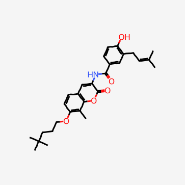 CC(C)=CCc1cc(C(=O)Nc2cc3ccc(OCCCC(C)(C)C)c(C)c3oc2=O)ccc1O